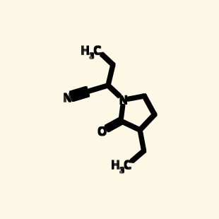 CCC1CCN(C(C#N)CC)C1=O